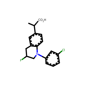 CC(C(=O)O)c1ccc2c(c1)CC(F)CN2c1cccc(Cl)c1